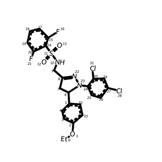 CCOc1ccc(C2CC(CNS(=O)(=O)c3c(F)cccc3F)=NN2c2ccc(Cl)cc2Cl)cc1